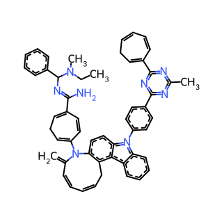 C=C1/C=C\C=C/Cc2c(ccc3c2c2ccccc2n3-c2ccc(-c3nc(C)nc(C4=CCC=CC=C4)n3)cc2)N1C1=CCC=C(/C(N)=N/C(c2ccccc2)N(C)CC)C=C1